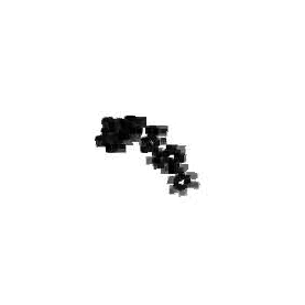 O=P(O)(O)OP(=O)(O)OP(=O)(O)OC[C@H]1O[C@@H](n2cnc3c(NCc4ccccc4)ncnc32)C[C@@H]1O